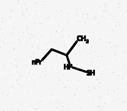 CCCCC(C)PS